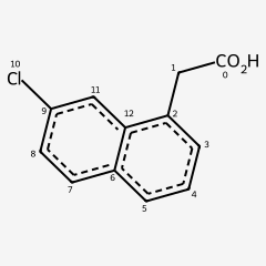 O=C(O)Cc1cccc2ccc(Cl)cc12